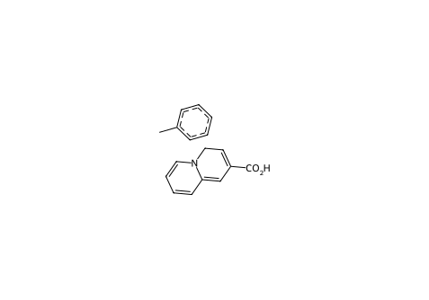 Cc1ccccc1.O=C(O)C1=CCN2C=CC=CC2=C1